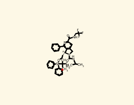 CC(C)NC(=O)N1Cc2cc(C(=O)NCC(F)(F)F)nc(-c3ccccc3)c2[C@H]1CCO[Si](c1ccccc1)(c1ccccc1)C(C)(C)C